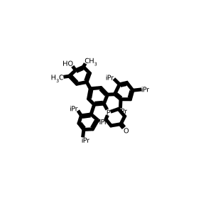 Cc1cc(-c2cc(-c3c(C(C)C)cc(C(C)C)cc3C(C)C)c(P3CCC(=O)CC3)c(-c3c(C(C)C)cc(C(C)C)cc3C(C)C)c2)cc(C)c1O